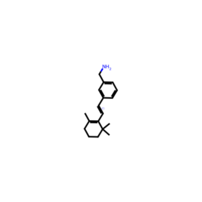 CC1=C(/C=C/c2cccc(CN)c2)C(C)(C)CCC1